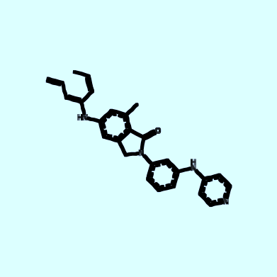 C=C/C=C(\C=C/C)Nc1cc(C)c2c(c1)CN(c1cccc(Nc3ccncc3)c1)C2=O